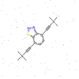 C[Si](C)(C)C#Cc1ccc(C#C[Si](C)(C)C)c2snnc12